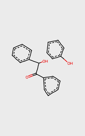 O=C(c1ccccc1)C(O)c1ccccc1.Oc1ccccc1